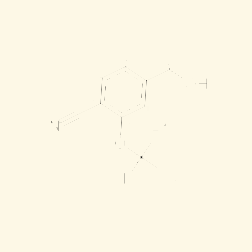 N#Cc1ccc([CH]O)cc1OC(F)(F)F